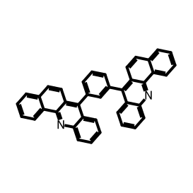 c1cc(-c2c3ccccc3nc3c2ccc2ccccc23)cc(-c2c3ccccc3nc3c2ccc2ccccc23)c1